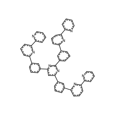 c1ccc(-c2cccc(-c3cccc(-c4cc(-c5cccc(-c6cccc(-c7ccccn7)n6)c5)nc(-c5cccc(-c6cccc(-c7ccccn7)n6)c5)n4)c3)n2)nc1